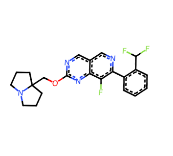 Fc1c(-c2ccccc2C(F)F)ncc2cnc(OCC34CCCN3CCC4)nc12